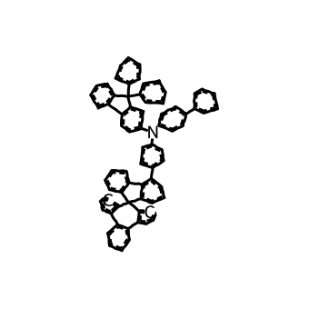 c1ccc(-c2ccc(N(c3ccc(-c4cccc5c4-c4ccccc4C54c5ccccc5-c5ccccc5-c5ccccc54)cc3)c3ccc4c(c3)C(c3ccccc3)(c3ccccc3)c3ccccc3-4)cc2)cc1